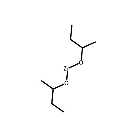 CCC(C)[O][Zr][O]C(C)CC